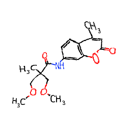 COCC(C)(COC)C(=O)Nc1ccc2c(C)cc(=O)oc2c1